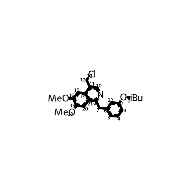 CCC(C)Oc1cccc(Cc2ncc(CCl)c3cc(OC)c(OC)cc23)c1